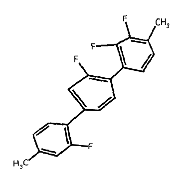 Cc1ccc(-c2ccc(-c3ccc(C)c(F)c3F)c(F)c2)c(F)c1